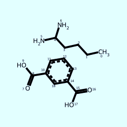 CCCCC(N)N.O=C(O)c1cccc(C(=O)O)c1